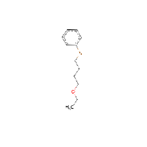 CCOCCCCSc1ccccc1